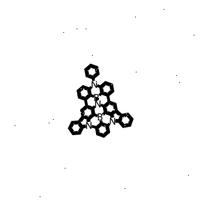 c1ccc(N2c3cccc4c3B3c5c(cccc52)-c2cc5c6ccccc6n6c5c5c2N3c2c-4cc3c4ccccc4n4c3c2B5c2c-4cccc2-6)cc1